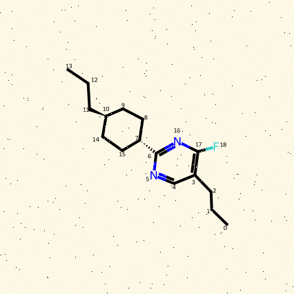 CCCc1cnc([C@H]2CC[C@H](CCC)CC2)nc1F